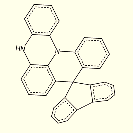 c1ccc2c(c1)Nc1cccc3c1N2c1ccccc1C31c2ccccc2-c2ccccc21